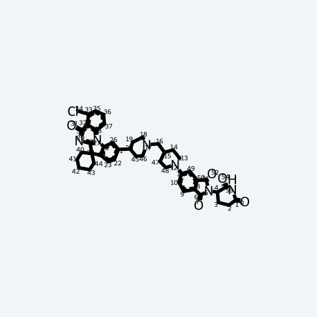 O=C1CCC(N2C(=O)c3ccc(N4CCC(CN5CCC(c6ccc7c(c6)-n6c(nc(=O)c8c(Cl)cccc86)C76CCCCC6)CC5)CC4)cc3C2=O)C(=O)N1